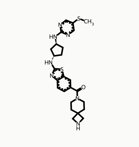 CSc1cnc(N[C@H]2CC[C@H](Nc3nc4ccc(C(=O)N5CCC6(CC5)CNC6)cc4s3)C2)nc1